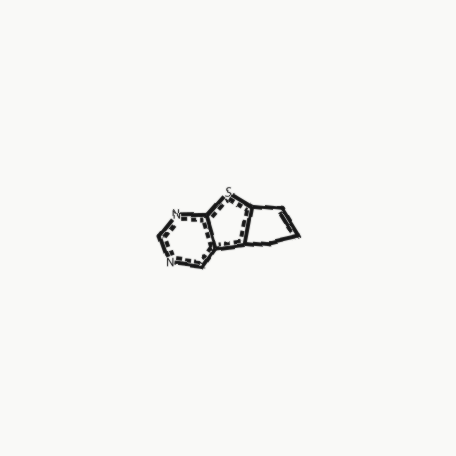 [c]1ncnc2sc3c(c12)CC=C3